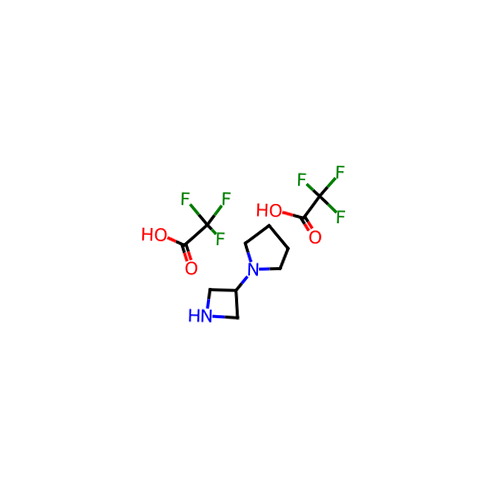 C1CCN(C2CNC2)C1.O=C(O)C(F)(F)F.O=C(O)C(F)(F)F